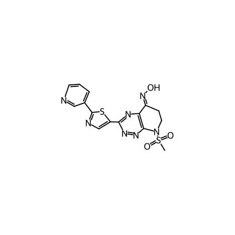 CS(=O)(=O)N1CC/C(=N\O)c2nc(-c3cnc(-c4cccnc4)s3)nnc21